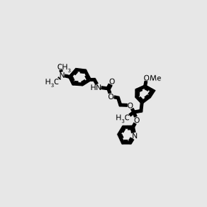 COc1ccc(CC(C)(OCCOC(=O)NCc2ccc(N(C)C)cc2)Oc2ccccn2)cc1